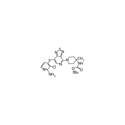 CC1(NC(=O)OC(C)(C)C)CCN(c2ncc(Sc3ccnc(N)c3Cl)c3nsnc23)CC1